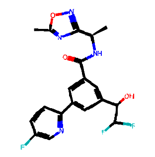 Cc1nc([C@@H](C)NC(=O)c2cc(-c3ccc(F)cn3)cc(C(O)C(F)F)c2)no1